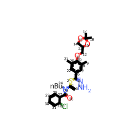 C=C(S/C(=N\N)c1cc(C)c(OCC2COC(C)(C)O2)c(C)c1)N(CCCC)C(=O)C1C=CC=CC1Cl